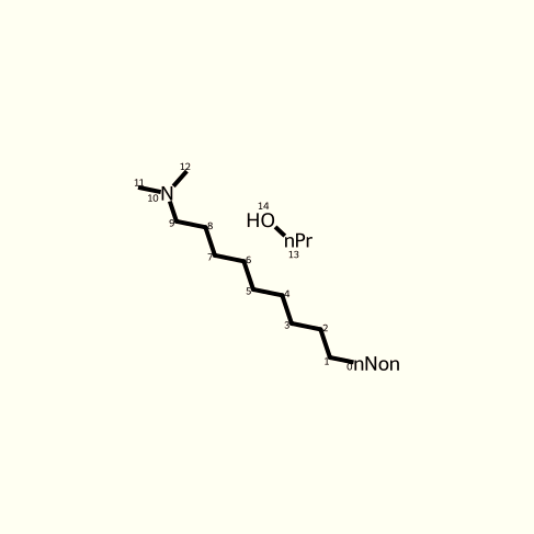 CCCCCCCCCCCCCCCCCCN(C)C.[CH2]CCO